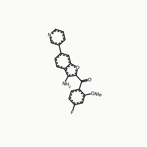 COc1cc(F)ccc1C(=O)c1oc2cc(-c3cccnc3)ccc2c1N